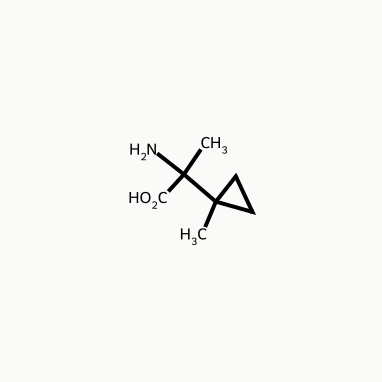 CC1(C(C)(N)C(=O)O)CC1